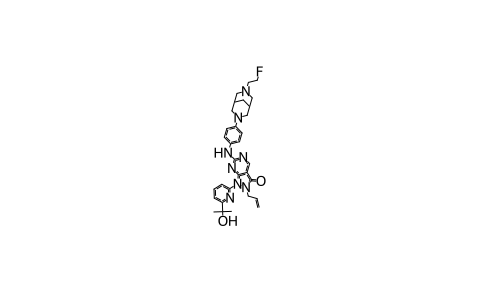 C=CCn1c(=O)c2cnc(Nc3ccc(N4CC5CC(CN(CCF)C5)C4)cc3)nc2n1-c1cccc(C(C)(C)O)n1